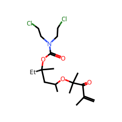 C=C(C)C(=O)C(C)(C)OC(C)CC(C)(CC)OC(=O)N(CCCl)CCCl